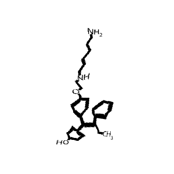 CC/C(=C(\c1ccc(O)cc1)c1ccc(OCCNCCCCCCN)cc1)c1ccccc1